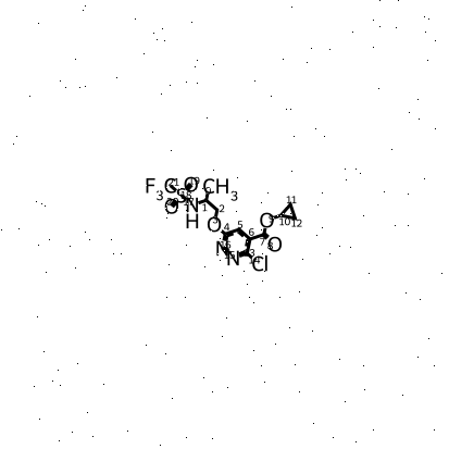 CC(COc1cc(C(=O)OC2CC2)c(Cl)nn1)NS(=O)(=O)C(F)(F)F